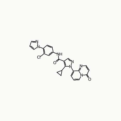 O=C(Nc1ccc(-n2cccn2)c(Cl)c1)c1cnn(-c2cccn3c(=O)ccnc23)c1C1CC1